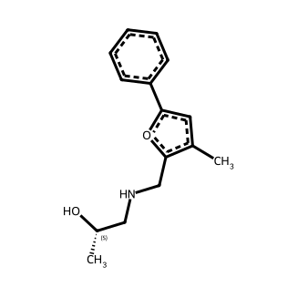 Cc1cc(-c2ccccc2)oc1CNC[C@H](C)O